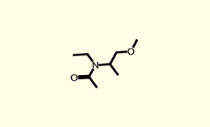 CCN(C(C)=O)C(C)COC